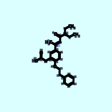 CCN(CC)C(=O)/C=C(\C)c1ccc(OCCc2ccccc2)c(CC(=O)O)c1